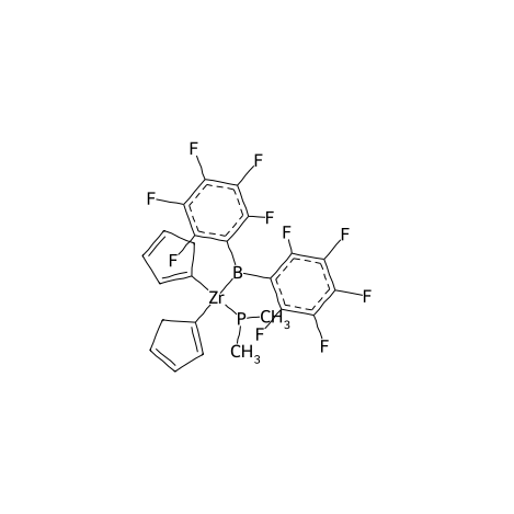 C[P](C)[Zr]([B](c1c(F)c(F)c(F)c(F)c1F)c1c(F)c(F)c(F)c(F)c1F)([C]1=CC=CC1)[C]1=CC=CC1